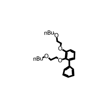 CCCCOCCOc1cccc(-c2ccccc2)c1OCCOCCCC